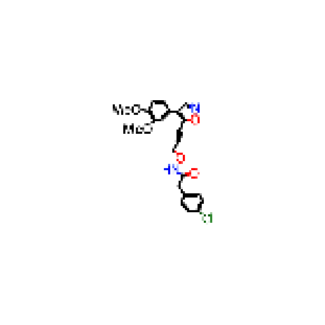 COc1ccc(-c2cnoc2C#CCONC(=O)Cc2ccc(Cl)cc2)cc1OC